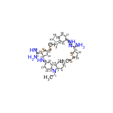 CCn1c2ccccc2c2cc(Nc3cc(SC)sc3C(=N)N)ccc21.CSc1ccc(C(N)=NNc2ccc3c(c2)CCC3)s1